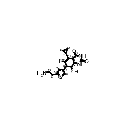 CC1c2[nH]c(=O)[nH]c(=O)c2C(C2CC2)=C(F)C1c1csc(CCN)c1